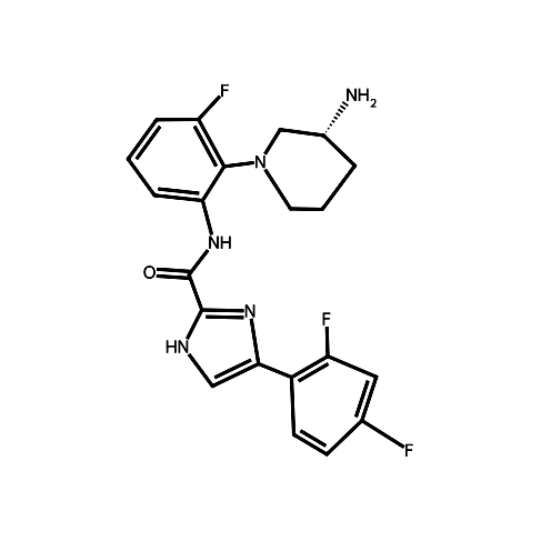 N[C@@H]1CCCN(c2c(F)cccc2NC(=O)c2nc(-c3ccc(F)cc3F)c[nH]2)C1